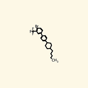 CCCCCC1CCC(c2ccc(-c3ccc(Br)c(C(F)(F)F)c3)cc2)CC1